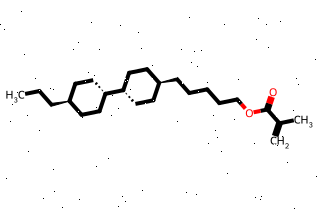 C=C(C)C(=O)OCCCCC[C@H]1CC[C@H]([C@H]2CC[C@H](CCC)CC2)CC1